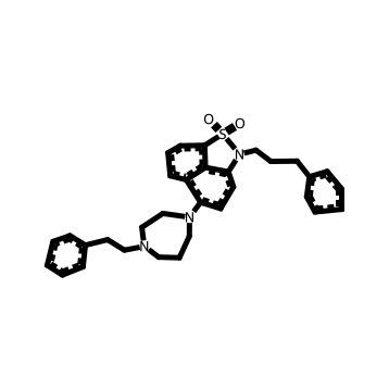 O=S1(=O)c2cccc3c(N4CCCN(CCc5ccccc5)CC4)ccc(c23)N1CCCc1ccccc1